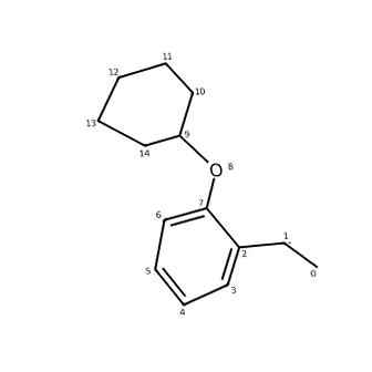 C[CH]c1ccccc1OC1CCCCC1